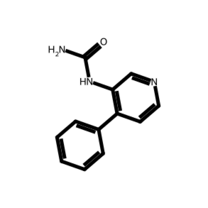 NC(=O)Nc1cnccc1-c1ccccc1